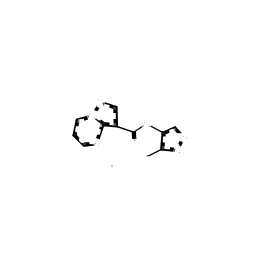 Cl.O=C(Nc1c[nH]nc1I)c1cnn2cccnc12